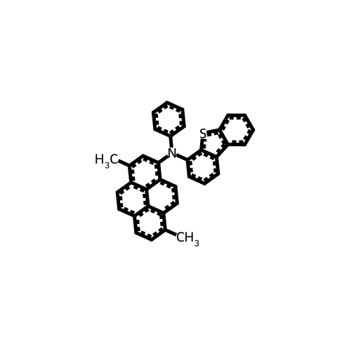 Cc1ccc2ccc3c(C)cc(N(c4ccccc4)c4cccc5c4sc4ccccc45)c4ccc1c2c34